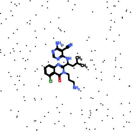 CC(C)CC(Nc1ncnc(N)c1C#N)c1nc2cccc(Cl)c2c(=O)n1CCCN